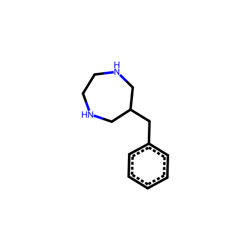 c1ccc(CC2CNCCNC2)cc1